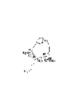 COC(=O)[C@@H]1CC=CCOc2ccc(cc2)C[C@H](NC(C)=O)C(=O)N[C@@H](CCCCN)C(=O)N1.Cl